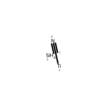 N#[C][Ti].[SiH4]